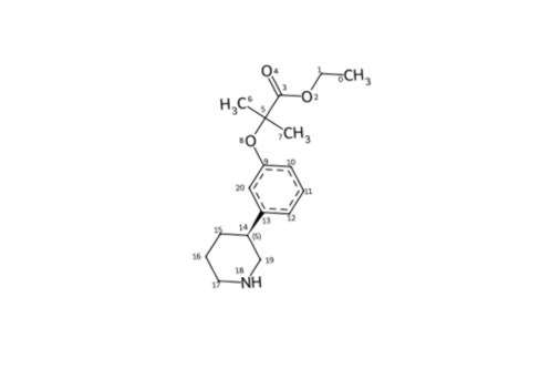 CCOC(=O)C(C)(C)Oc1cccc([C@@H]2CCCNC2)c1